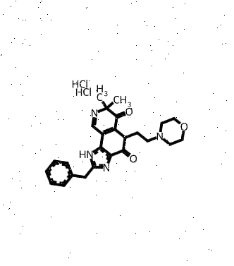 CC1(C)N=CC2=C(C1=O)C(CCN1CCOCC1)C(=O)c1nc(Cc3ccccc3)[nH]c12.Cl.Cl